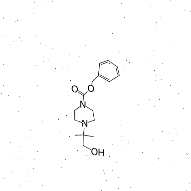 CC(C)(CO)N1CCN(C(=O)OCc2ccccc2)CC1